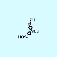 CCCCC(c1ccc(OCCO)cc1)c1ccc(OCCO)cc1